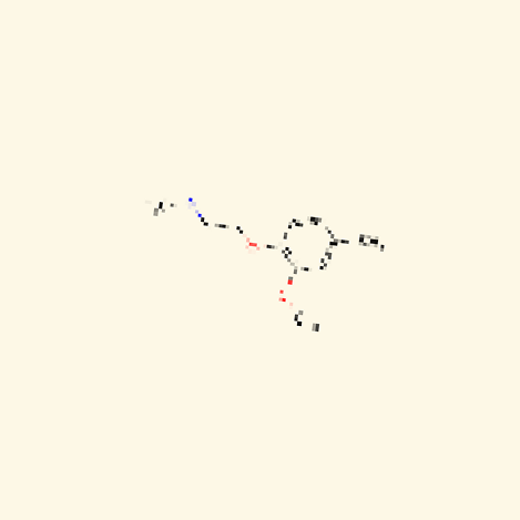 CNCCOc1ccc(C)cc1OC